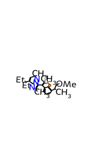 CCC(CC)c1cc(C)nn2c(-c3c(C)sc4c(C(C)COC)cccc34)c(C)nc12